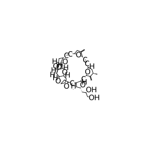 C=C1CC2CC[C@@]34C[C@H]5O[C@H]6[C@@H](O3)[C@H]3OC(CC[C@@H]3O[C@H]6[C@H]5O4)CC(=O)C[C@@H]3[C@@H](C)[C@@H](C[C@H](O)CO)O[C@H]3CC3O[C@@H](CCC1O2)C[C@@H](C)C3=C